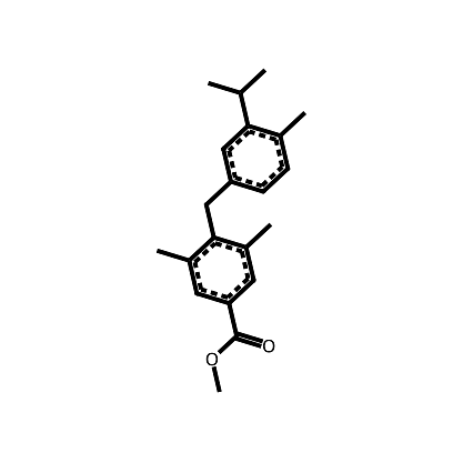 COC(=O)c1cc(C)c(Cc2ccc(C)c(C(C)C)c2)c(C)c1